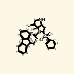 O=C1CNC2CC(S(=O)(=O)c3ccccc3)N(C(=O)OCC3c4ccccc4-c4ccccc43)[C@H]12